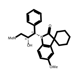 CNC[C@@H](O)[C@H](c1ccccc1)N1C(=O)C2(CCCCC2)c2cc(OC)ccc21